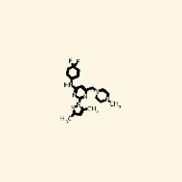 Cc1cc(C)n(-c2nc(CN3CCN(C)CC3)cc(NC3CCC(F)(F)CC3)n2)n1